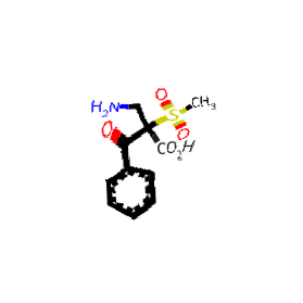 CS(=O)(=O)C(CN)(C(=O)O)C(=O)c1ccccc1